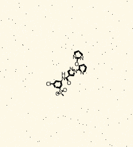 CS(=O)(=O)c1cc(Cl)cc(NC(=O)c2cnn(-c3ncccc3Oc3ncccn3)c2)c1